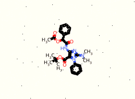 CC(=O)OC(C(=O)Nc1nc(N(C)C)n(-c2ccccc2)c1C(=O)OC(C)(C)C)c1ccccc1